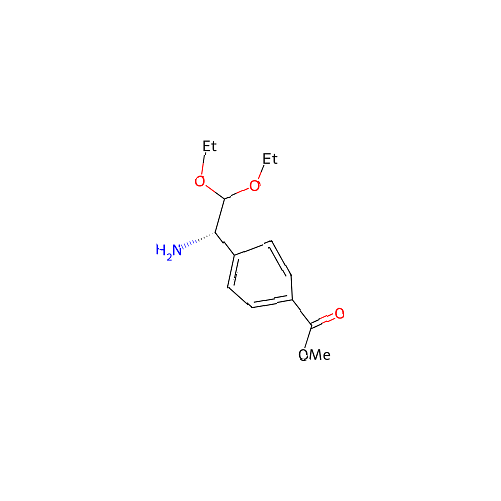 CCOC(OCC)[C@@H](N)c1ccc(C(=O)OC)cc1